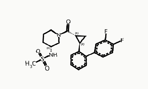 CS(=O)(=O)N[C@@H]1CCCN(C(=O)[C@@H]2C[C@H]2c2ccccc2-c2ccc(F)c(F)c2)C1